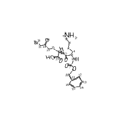 NCCCCC(NC(=O)OCc1ccccc1)C(=O)NC(CCC(=O)CBr)C(=O)O